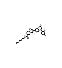 CCCCCCCOC(=O)[C@H]1CCCN(C(=O)[C@@H](C=O)c2ccc3c(-c4ccc(F)cc4Cl)cc(=O)oc3c2)C1